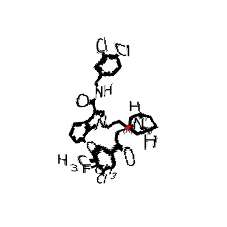 CC(C)Oc1cccc2c(C(=O)NCc3ccc(Cl)c(Cl)c3)cn(CCCN3[C@@H]4CC[C@H]3C[C@@H](CC(=O)c3ccc(F)c(Cl)c3)C4)c12